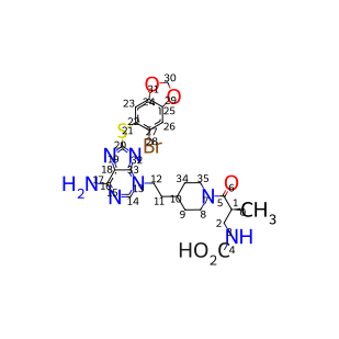 C[C@@H](CNC(=O)O)C(=O)N1CCC(CCn2cnc(N)c3nc(Sc4cc5c(cc4Br)OCO5)nc2-3)CC1